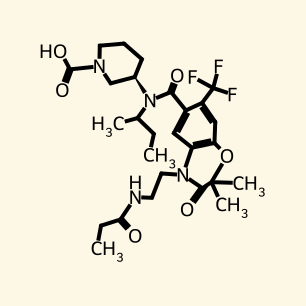 CCC(=O)NCCN1C(=O)C(C)(C)Oc2cc(C(F)(F)F)c(C(=O)N(C(C)CC)[C@@H]3CCCN(C(=O)O)C3)cc21